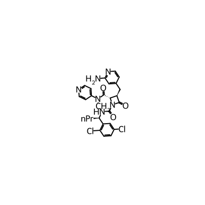 CCC[C@@H](NC(=O)N1C(=O)[C@H](Cc2ccnc(N)c2)[C@H]1C(=O)N(C)c1ccncc1)c1cc(Cl)ccc1Cl